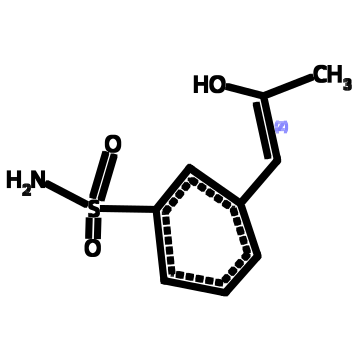 C/C(O)=C/c1cccc(S(N)(=O)=O)c1